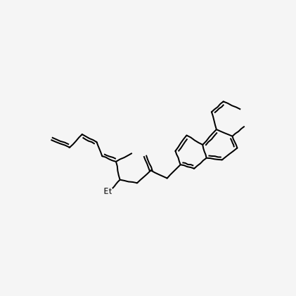 C=C/C=C\C=C(/C)C(CC)CC(=C)Cc1ccc2c(/C=C\C)c(C)ccc2c1